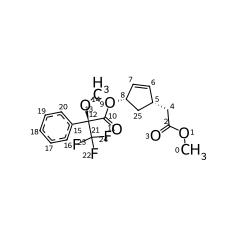 COC(=O)C[C@H]1C=C[C@@H](OC(=O)[C@@](OC)(c2ccccc2)C(F)(F)F)C1